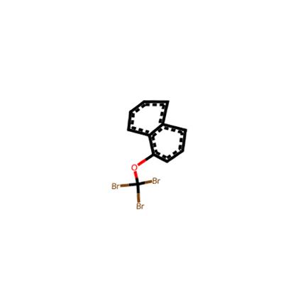 BrC(Br)(Br)Oc1cccc2ccccc12